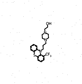 OCCN1CCN(CCCN2c3ccccc3Sc3cccc(C(F)(F)F)c32)CC1